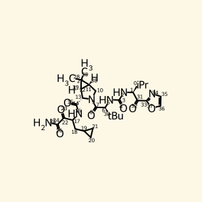 CC(C)[C@H](NC(=O)N[C@H](C(=O)N1C[C@@H]2[C@@H]([C@H]1C(=O)NC(CC1CC1)C(=O)C(N)=O)C2(C)C)C(C)(C)C)C(=O)c1ncco1